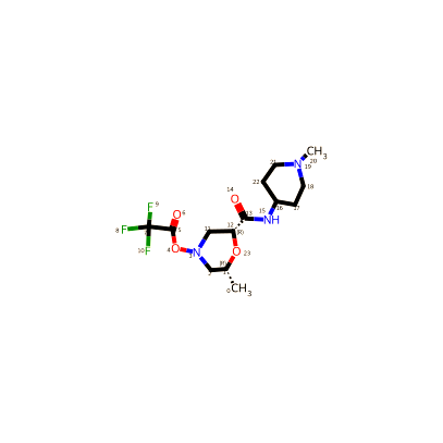 C[C@@H]1CN(OC(=O)C(F)(F)F)C[C@H](C(=O)NC2CCN(C)CC2)O1